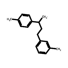 [CH2]C(CCc1cccc(C)c1)c1ccc(C)cc1